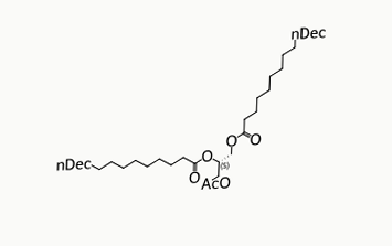 CCCCCCCCCCCCCCCCCCC(=O)OC[C@H](COC(C)=O)OC(=O)CCCCCCCCCCCCCCCCCC